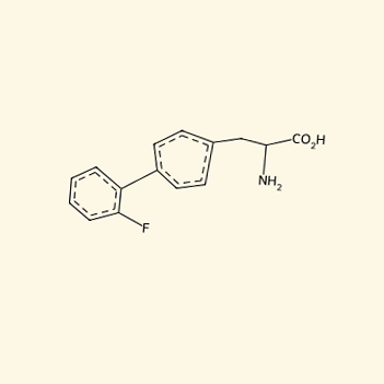 NC(Cc1ccc(-c2ccccc2F)cc1)C(=O)O